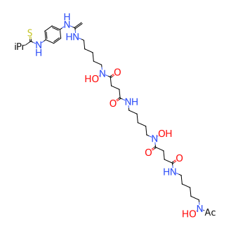 C=C(NCCCCCN(O)C(=O)CCC(=O)NCCCCCN(O)C(=O)CCC(=O)NCCCCCN(O)C(C)=O)Nc1ccc(NC(=S)C(C)C)cc1